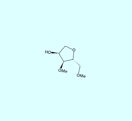 COC[C@H]1OC[C@H](O)[C@@H]1OC